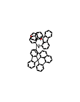 CCc1ccc2cccc3c2c1C1(c2ccccc2-c2ccc(N(c4cccc5ccccc45)c4cccc5c6ccccc6n(-c6ccccc6)c45)cc21)c1ccccc1-3